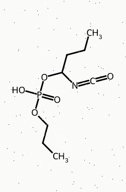 CCCOP(=O)(O)OC(CCC)N=C=O